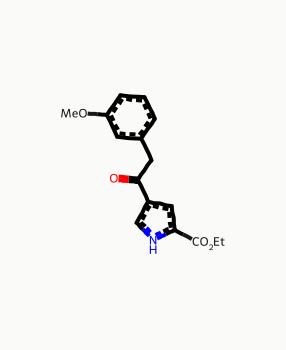 CCOC(=O)c1cc(C(=O)Cc2cccc(OC)c2)c[nH]1